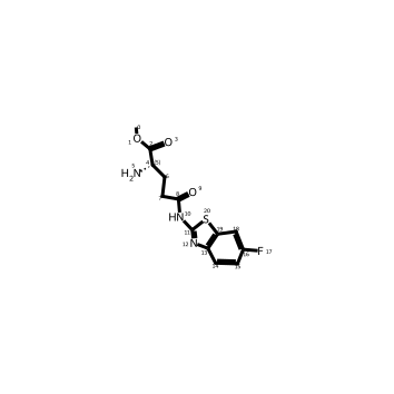 COC(=O)[C@@H](N)CCC(=O)Nc1nc2ccc(F)cc2s1